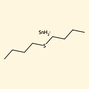 CCCCSCCCC.[SnH2]